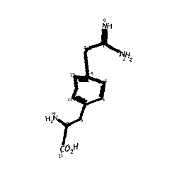 N=C(N)Cc1ccc(CC(N)C(=O)O)cc1